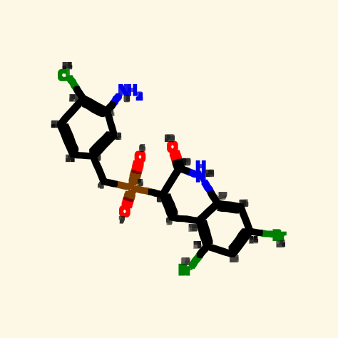 Nc1cc(CS(=O)(=O)c2cc3c(Br)cc(Br)cc3[nH]c2=O)ccc1Cl